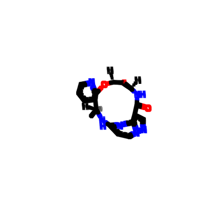 C[C@H]1Nc2ccn3ncc(c3n2)C(=O)N[C@H]2C[C@H](C2)Oc2ncccc21